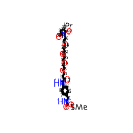 CSOC(=O)NCc1ccc(NC(=O)CCOCCOCCOCCOCCN2C(=O)CC(C(C)C)C2=O)cc1